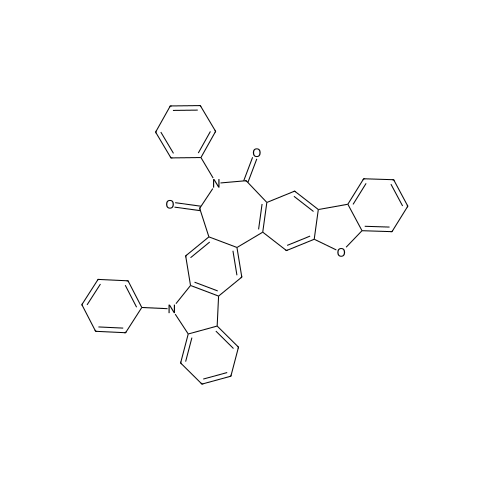 O=c1c2cc3c(cc2c2cc4c5ccccc5n(-c5ccccc5)c4cc2c(=O)n1-c1ccccc1)oc1ccccc13